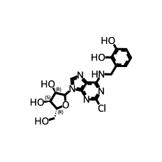 OC[C@H]1OC(n2cnc3c(NCc4cccc(O)c4O)nc(Cl)nc32)[C@H](O)[C@@H]1O